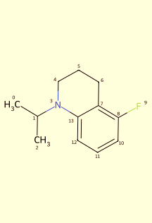 CC(C)N1CCCc2c(F)cccc21